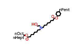 CCCCCCCCC(CCCCCCC)OC(=O)CCCCCCCN(CCO)CCCCCCCC(=O)OC1CCC(CCCCC)CC1